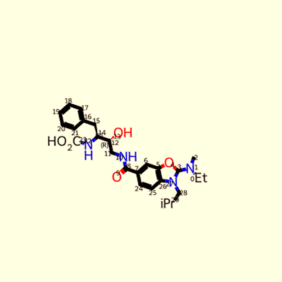 CCN(C)C1Oc2cc(C(=O)NC[C@@H](O)[C@H](Cc3ccccc3)NC(=O)O)ccc2N1CC(C)C